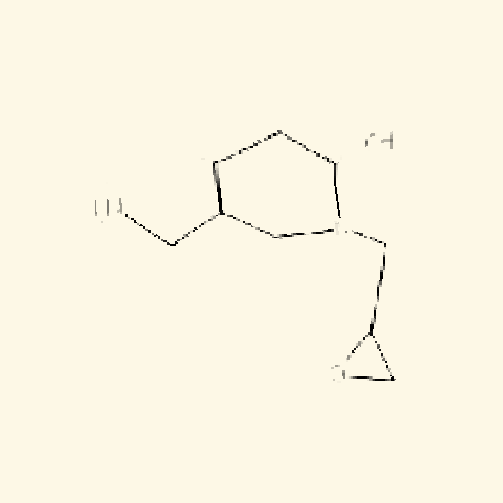 C.NCC1CCCN(CC2CO2)C1